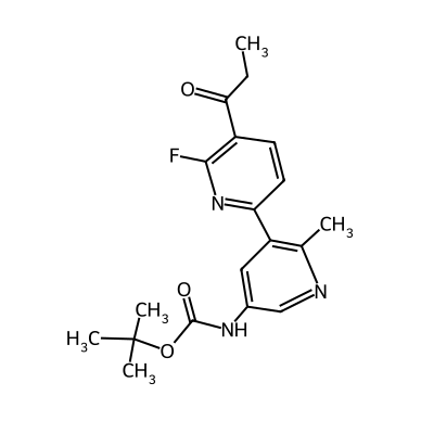 CCC(=O)c1ccc(-c2cc(NC(=O)OC(C)(C)C)cnc2C)nc1F